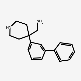 NCC1(c2cccc(-c3ccccc3)c2)CCNCC1